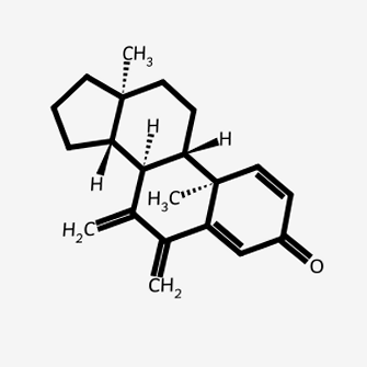 C=C1C(=C)[C@H]2[C@@H]3CCC[C@@]3(C)CC[C@@H]2[C@@]2(C)C=CC(=O)C=C12